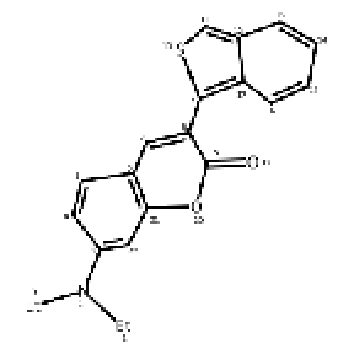 CCN(CC)c1ccc2cc(-c3scc4ccccc34)c(=O)oc2c1